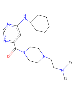 CCN(CC)CCN1CCN(C(=O)c2cc(NC3CCCCC3)ncn2)CC1